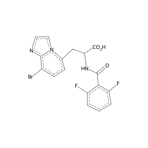 O=C(NC(Cc1ccc(Br)c2nccn12)C(=O)O)c1c(F)cccc1F